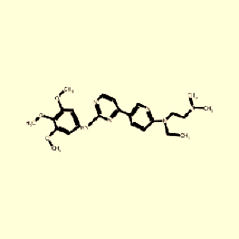 CCN(CCN(C)C)c1ccc(-c2ccnc(Nc3cc(OC)c(OC)c(OC)c3)n2)cn1